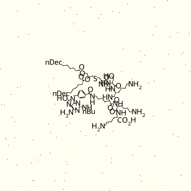 CCCCCCCCCCCCCCCC(=O)OCC(CSCC(N)C(=O)NC(CO)C(=O)N[C@@H](CCCCN)C(=O)NC(CCCCNC(=O)c1ccc(Cn2c(O)nc3c(N)nc(NCCCC)nc32)cc1)C(=O)N[C@@H](CCCCN)C(=O)NC(CCCCN)C(=O)O)OC(=O)CCCCCCCCCCCCCCC